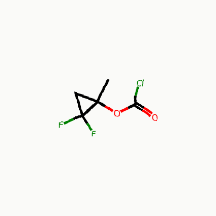 CC1(OC(=O)Cl)CC1(F)F